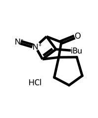 CCC(C)C1=C2[N+](=[N-])C1C(=O)C21CCCC1.Cl